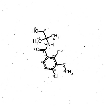 CSc1c(Cl)ccc(C(=O)NC(C)(C)CO)c1F